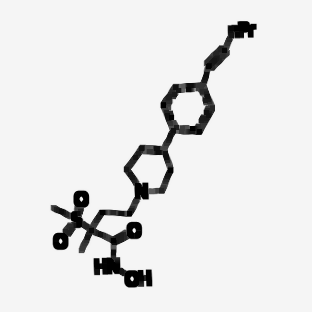 CCCC#Cc1ccc(C2=CCN(CCC(C)(C(=O)NO)S(C)(=O)=O)CC2)cc1